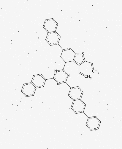 C=Cc1sc2c(c1C=C)C(c1nc(-c3ccc4ccccc4c3)nc(-c3ccc4cc(-c5ccccc5)ccc4c3)n1)CC(c1ccc3ccccc3c1)=C2